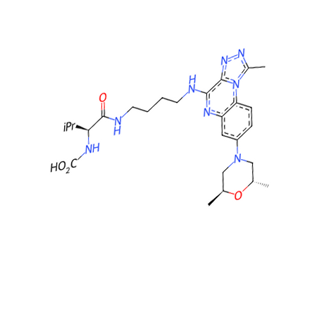 Cc1nnc2c(NCCCCNC(=O)[C@@H](NC(=O)O)C(C)C)nc3cc(N4C[C@H](C)O[C@@H](C)C4)ccc3n12